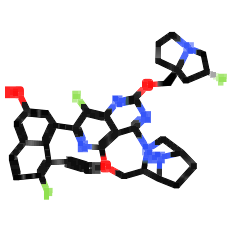 C#Cc1c(F)ccc2cc(O)cc(-c3nc4c5c(nc(OC[C@@]67CCCN6C[C@H](F)C7)nc5c3F)N3CC5CCC(N5)C3CO4)c12